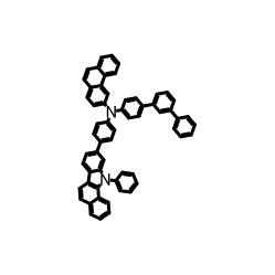 c1ccc(-c2cccc(-c3ccc(N(c4ccc(-c5ccc6c7ccc8ccccc8c7n(-c7ccccc7)c6c5)cc4)c4ccc5ccc6ccccc6c5c4)cc3)c2)cc1